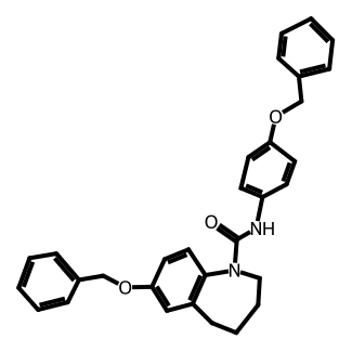 O=C(Nc1ccc(OCc2ccccc2)cc1)N1CCCCc2cc(OCc3ccccc3)ccc21